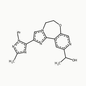 Cc1nc(-c2cn3c(n2)-c2cc(C(C)O)ncc2OCC3)n(C(C)C)n1